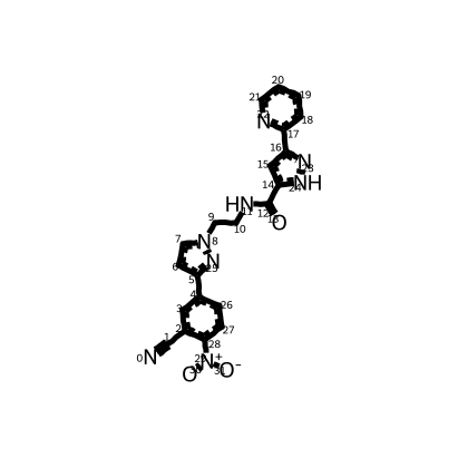 N#Cc1cc(-c2ccn(CCNC(=O)c3cc(-c4ccccn4)n[nH]3)n2)ccc1[N+](=O)[O-]